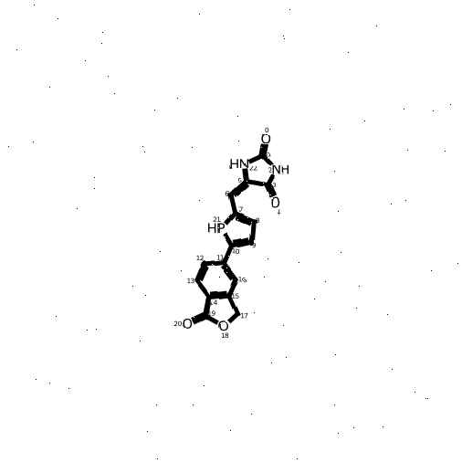 O=C1NC(=O)/C(=C\c2ccc(-c3ccc4c(c3)COC4=O)[pH]2)N1